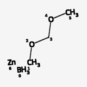 B.COCOC.[Zn]